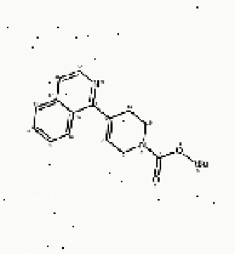 CC(C)(C)OC(=O)N1CC=C(c2nccc3ccccc23)CC1